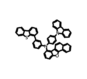 c1cc(-c2cccc3c2sc2ccccc23)cc(N(c2ccc(-n3c4ccccc4c4ccccc43)cc2)c2cccc3oc4c5ccccc5ccc4c23)c1